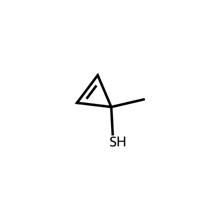 CC1(S)C=C1